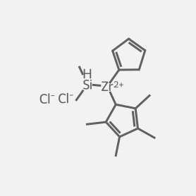 CC1=C(C)[CH]([Zr+2]([C]2=CC=CC2)[SiH](C)C)C(C)=C1C.[Cl-].[Cl-]